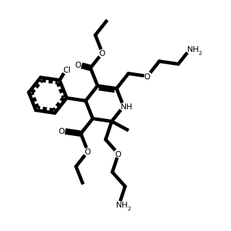 CCOC(=O)C1=C(COCCN)NC(C)(COCCN)C(C(=O)OCC)C1c1ccccc1Cl